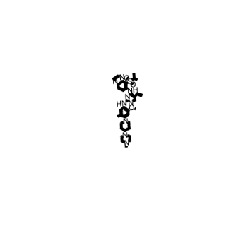 C=Cc1cnc(Nc2cc(C)c(N3CCC(N4CCN(C)CC4)CC3)cc2OC)nc1Nc1ccc2nccnc2c1S(=O)(=O)C(C)C